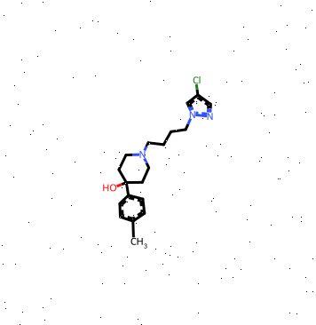 Cc1ccc(C2(O)CCN(CCCCn3cc(Cl)cn3)CC2)cc1